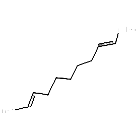 [CH2]CCCCCC=CCCCCCC=CCCC